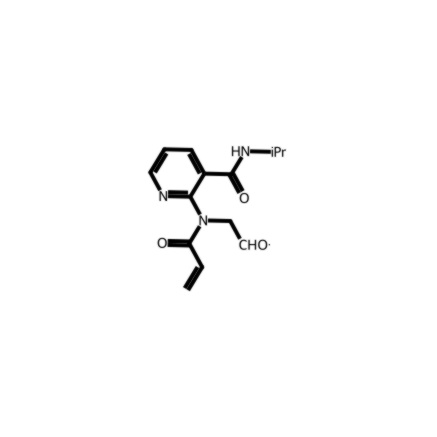 C=CC(=O)N(C[C]=O)c1ncccc1C(=O)NC(C)C